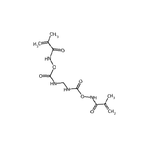 C=C(C)C(=O)NOC(=O)NCNC(=O)ONC(=O)C(=C)C